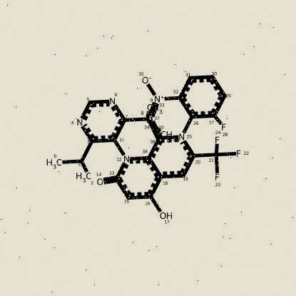 CC(C)c1ncnc(C(C)C)c1-n1c(=O)cc(O)c2cc(C(F)(F)F)n(-c3c(F)cccc3[N+](=O)[O-])c(=O)c21